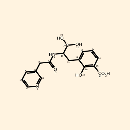 O=C(Cc1cccnc1)NC(Cc1cccc(C(=O)O)c1O)B(O)O